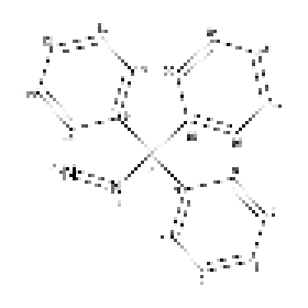 [N]=NC(c1ccccc1)(c1ccccc1)c1ccccc1